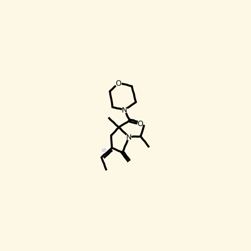 C=C1/C(=C\C)CC(C)(C(=O)N2CCOCC2)N1C(C)C